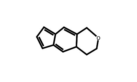 C1=CC2=CC3CCOCC3=CC2=C1